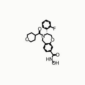 O=C(NO)c1ccc2c(c1)OC[C@@H](c1ccccc1F)N(C(=O)C1CCOCC1)C2